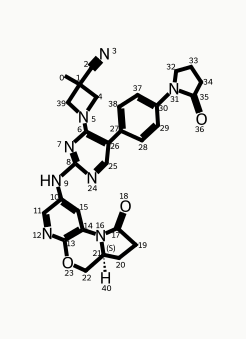 CC1(C#N)CN(c2nc(Nc3cnc4c(c3)N3C(=O)CC[C@H]3CO4)ncc2-c2ccc(N3CCCC3=O)cc2)C1